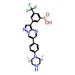 C[C@@H]1CNC[C@H](C)N1c1ccc(-c2cnc3c(-c4cc(S(=O)O)cc(C(F)(F)F)c4)cnn3c2)cc1